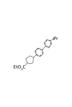 CCOC(=O)C1CCC(c2ccc(-c3ccc(C(C)C)cc3)cc2)CC1